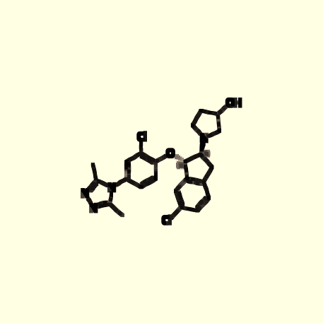 Cc1nnc(C)n1-c1ccc(O[C@H]2c3cc(Cl)ccc3C[C@@H]2N2CCC(O)C2)c(Cl)c1